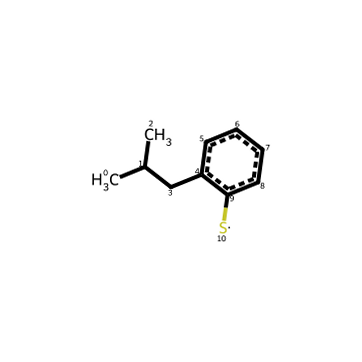 CC(C)Cc1ccccc1[S]